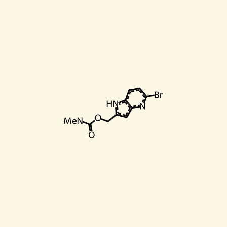 CNC(=O)OCc1cc2nc(Br)ccc2[nH]1